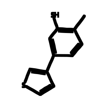 Cc1ccc(-c2ccsc2)cc1S